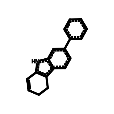 C1=Cc2[nH]c3cc(-c4ccccc4)ccc3c2CC1